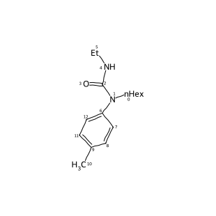 CCCCCCN(C(=O)NCC)c1ccc(C)cc1